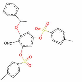 Cc1ccc(S(=O)(=O)Oc2cc(OC(C)c3ccccc3)c(C=O)c(OS(=O)(=O)c3ccc(C)cc3)c2)cc1